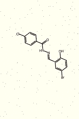 O=C(NN=Cc1cc(Br)ccc1O)c1ccc(Cl)cc1